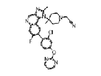 Cc1nc2cnc3cc(F)c(-c4ccc(Oc5ncccn5)cc4Cl)cc3c2n1C1(C)CCN(CC#N)CC1